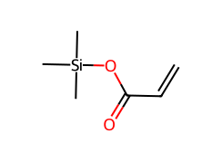 C=CC(=O)O[Si](C)(C)C